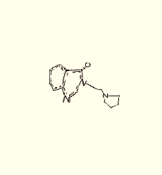 O=c1c2ccccc2ncn1CN1CCCC1